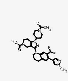 CC(=O)N1CCC(n2nc(N3CCCc4cc(-c5cnn(C)c5)c(C(F)F)cc43)c3c2CCN(C(=O)O)C3)CC1